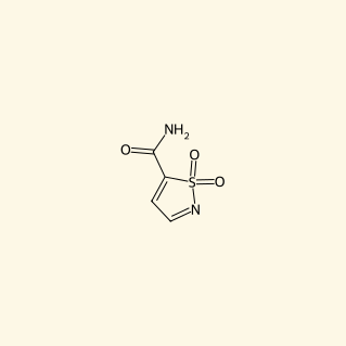 NC(=O)C1=CC=NS1(=O)=O